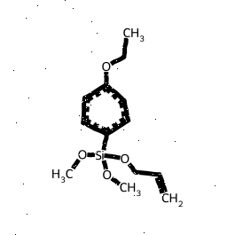 C=CCO[Si](OC)(OC)c1ccc(OCC)cc1